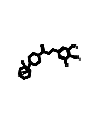 Nc1c(Cl)cc(C[CH]C(=O)N2CCN([C@H]3CN4CCC3CC4)CC2)cc1C(F)(F)F